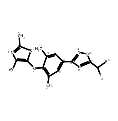 CCCc1nc(C)sc1Oc1c(C)cc(-c2noc(C(F)F)n2)cc1C